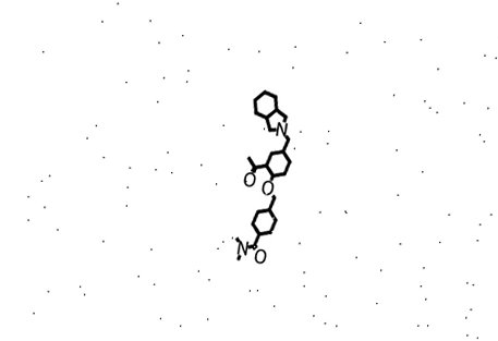 CC(=O)C1CC(CN2CC3CCCCC3C2)CCC1OCC1CCC(C(=O)N(C)C)CC1